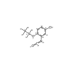 CC(C)(C)[Si](C)(C)Oc1ccc(Cl)cc1N=C=O